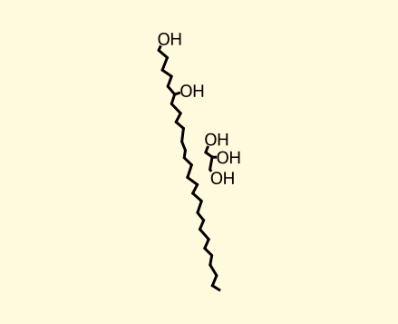 CCCCCCCCCCCCCCCCCCCCCCC(O)CCCCCO.OCC(O)CO